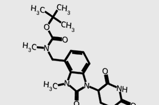 CN(Cc1cccc2c1n(C)c(=O)n2C1CCC(=O)NC1=O)C(=O)OC(C)(C)C